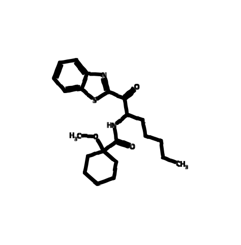 CCCCCC(NC(=O)C1(OC)CCCCC1)C(=O)c1nc2ccccc2s1